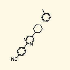 Cc1cccc([C@H]2CC[C@H](c3cnc(-c4ccc(C#N)cc4)nc3)CC2)c1